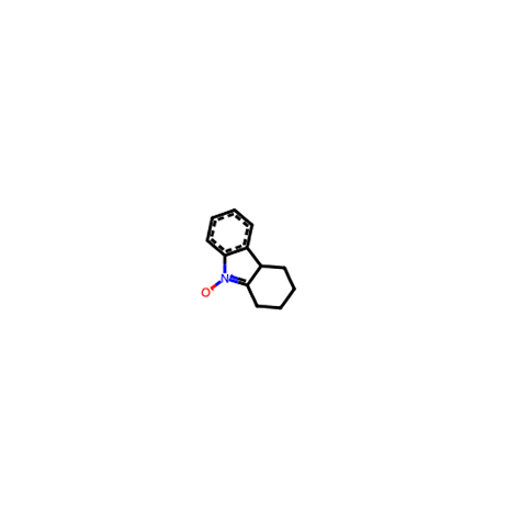 [O-][N+]1=C2CCCCC2c2ccccc21